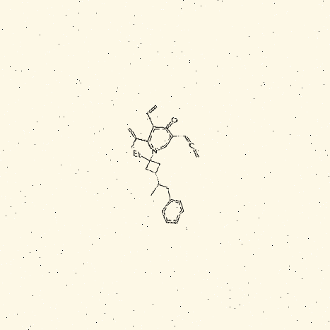 C=C=Cc1cn(C2(CC)CC(C(C)Cc3ccccc3)C2)c(C(=C)C)c(C=C)c1=O